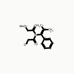 COCC(=O)N(C(=O)CCl)C(=C(C)C)c1ccccc1